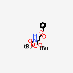 CC(C)(C)OC(=O)NC(CCC(=O)OCc1ccccc1)C(=O)OC(C)(C)C